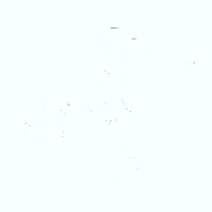 CCc1c(F)ccc2cc(OCOC)cc(-c3ncc4c(N5C[C@@H](C)N(C(=O)n6ccc(C)n6)[C@H](C)C5)nc(OC[C@@]56CCCN5C[C@H](F)C6)nc4c3F)c12